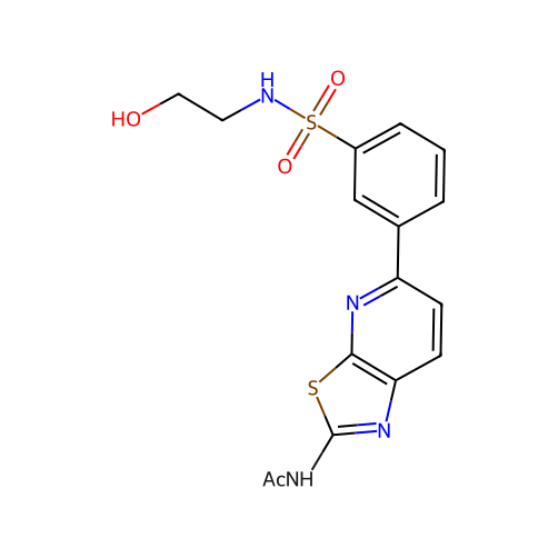 CC(=O)Nc1nc2ccc(-c3cccc(S(=O)(=O)NCCO)c3)nc2s1